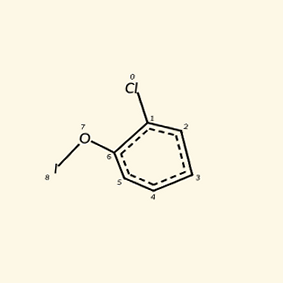 Clc1ccccc1OI